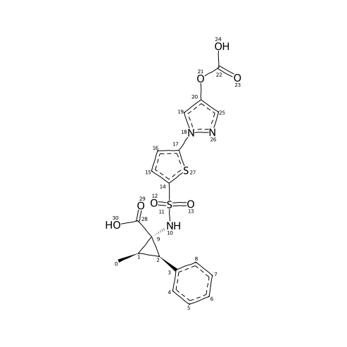 C[C@@H]1[C@H](c2ccccc2)[C@]1(NS(=O)(=O)c1ccc(-n2cc(OC(=O)O)cn2)s1)C(=O)O